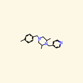 Cc1ccc(CN2CC(C)N(Cc3ccncc3)C(C)C2)cc1